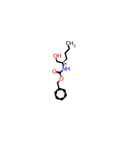 CCCC[C@H](CO)NC(=O)OCc1ccccc1